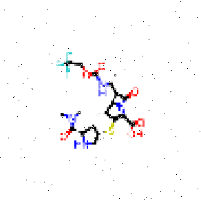 C[C@H]1C(S[C@@H]2CN[C@H](C(=O)N(C)C)C2)=C(C(=O)O)N2C(=O)[C@H]([C@@H](C)NC(=O)OCC(F)(F)F)C12